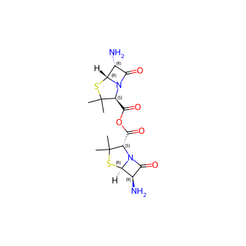 CC1(C)S[C@@H]2[C@H](N)C(=O)N2[C@H]1C(=O)OC(=O)[C@@H]1N2C(=O)[C@@H](N)[C@H]2SC1(C)C